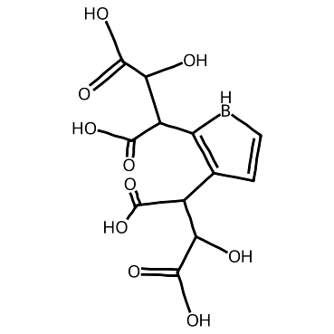 O=C(O)C(O)C(C(=O)O)C1=C(C(C(=O)O)C(O)C(=O)O)C=CB1